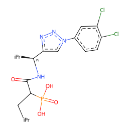 CC(C)CC(C(=O)N[C@H](c1cn(-c2ccc(Cl)c(Cl)c2)nn1)C(C)C)P(=O)(O)O